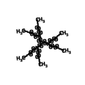 CCCCCCCC(=O)OCCOC(=O)CCN(CCOC(=O)c1cc(C(=O)OCCN(CCC(=O)OCCOC(=O)CCCCCCC)CCC(=O)OCCOC(=O)CCCCCCC)cc(C(=O)OCCN(CCC(=O)OCCOC(=O)CCCCCCC)CCC(=O)OCCOC(=O)CCCCCCC)c1)CCC(=O)OCCOC(=O)CCCCCCC